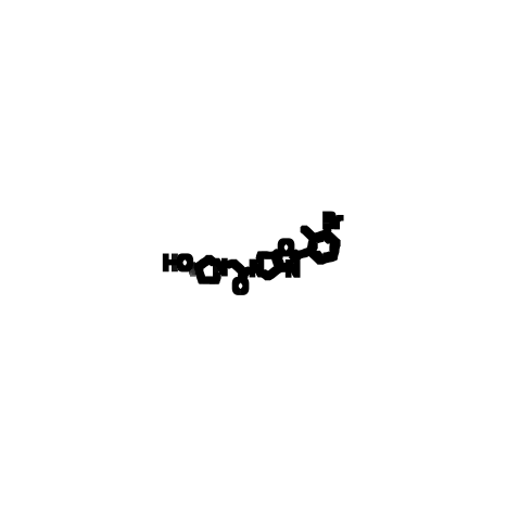 Cc1c(Br)cccc1-c1nc2c(o1)CN(C(=O)CN1CC[C@H](O)C1)C2